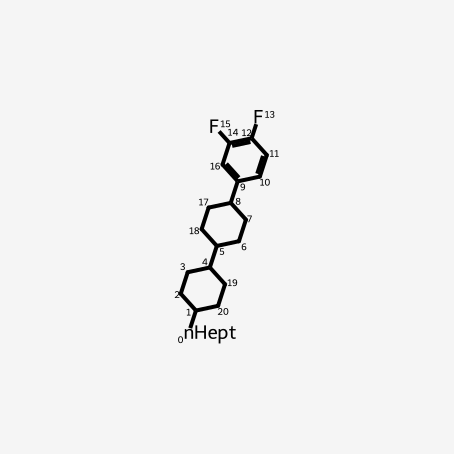 CCCCCCCC1CCC(C2CCC(c3ccc(F)c(F)c3)CC2)CC1